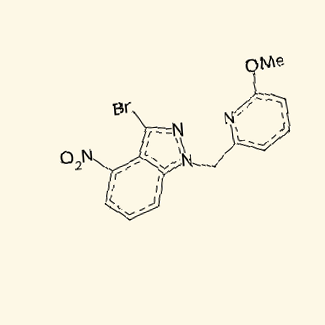 COc1cccc(Cn2nc(Br)c3c([N+](=O)[O-])cccc32)n1